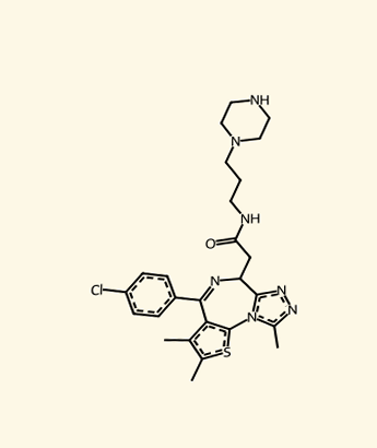 Cc1sc2c(c1C)C(c1ccc(Cl)cc1)=NC(CC(=O)NCCCN1CCNCC1)c1nnc(C)n1-2